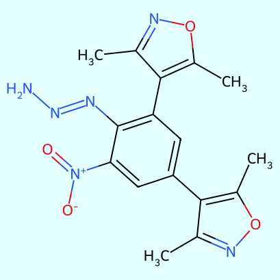 Cc1noc(C)c1-c1cc(-c2c(C)noc2C)c(N=NN)c([N+](=O)[O-])c1